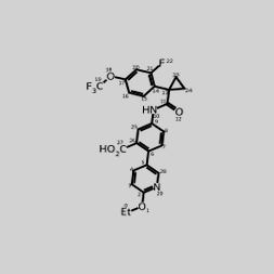 CCOc1ccc(-c2ccc(NC(=O)C3(c4ccc(OC(F)(F)F)cc4F)CC3)cc2C(=O)O)cn1